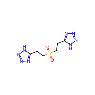 O=S(=O)(CCc1nnn[nH]1)CCc1nnn[nH]1